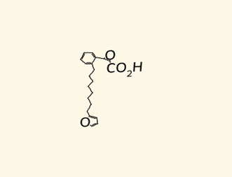 O=C(O)C1OC1c1ccccc1CCCCCCCCc1ccco1